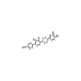 CCCc1ccc(-c2ccc(C3CCC(c4ccc(CC)c(F)c4)CC3)c(F)c2F)cc1